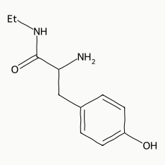 CCNC(=O)C(N)Cc1ccc(O)cc1